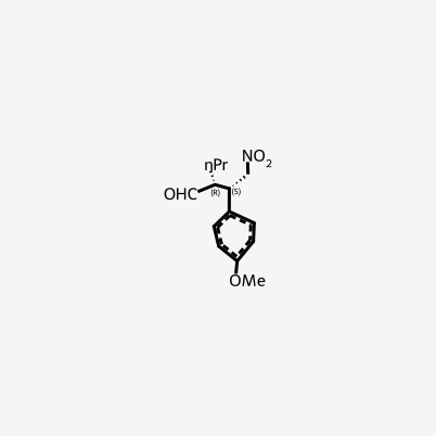 CCC[C@@H](C=O)[C@H](C[N+](=O)[O-])c1ccc(OC)cc1